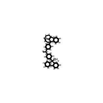 CC1=C2CC/C=C\CC1(c1ccc(C(C)c3ccc(C4(P)c5ccccc5-c5ccccc54)cc3)cc1)c1ccccc12